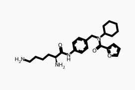 NCCCC[C@H](N)C(=O)Nc1ccc(CN(C(=O)c2ccco2)C2CCCCC2)cc1